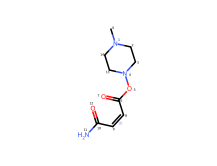 CN1CCN(OC(=O)/C=C\C(N)=O)CC1